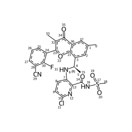 Cc1cc([C@@H](C)Nc2ccc(Cl)nc2C(=O)NS(C)(=O)=O)c2oc(-c3cccc(C#N)c3F)c(C)c(=O)c2c1